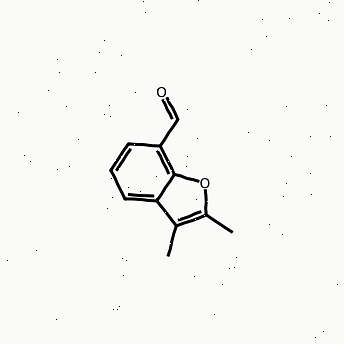 Cc1oc2c(C=O)cccc2c1C